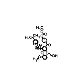 CCOC(=O)ON1CCN(C(=O)c2cc(NS(=O)(=O)c3ccc(C(C)C)cn3)c(Oc3ccccc3OC)c(OCCO)c2)CC1